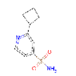 NS(=O)(=O)c1ccnc(C2CCC2)c1